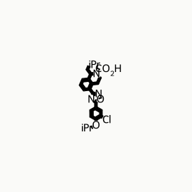 CC(C)CC1c2cccc(-c3noc(-c4ccc(OC(C)C)c(Cl)c4)n3)c2CCN1C(=O)O